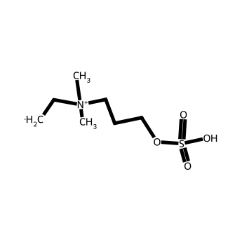 [CH2]C[N+](C)(C)CCCOS(=O)(=O)O